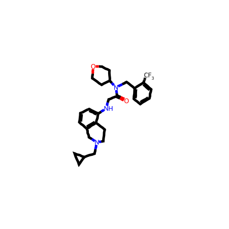 O=C(CNc1cccc2c1CCN(CC1CC1)C2)N(Cc1ccccc1C(F)(F)F)C1CCOCC1